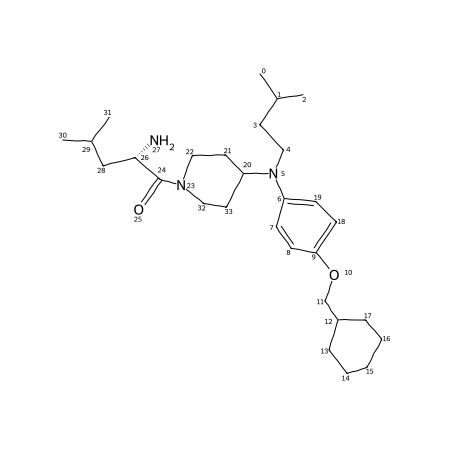 CC(C)CCN(c1ccc(OCC2CCCCC2)cc1)C1CCN(C(=O)[C@@H](N)CC(C)C)CC1